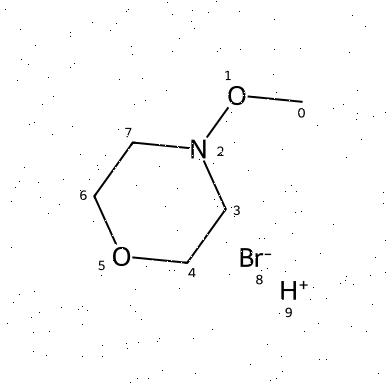 CON1CCOCC1.[Br-].[H+]